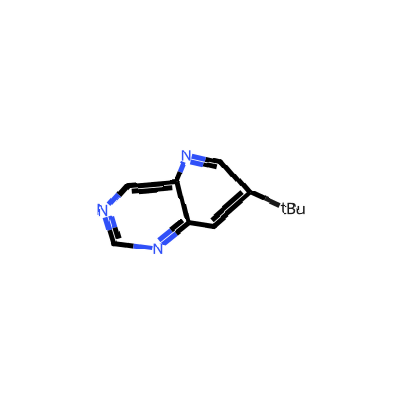 CC(C)(C)c1cnc2cncnc2c1